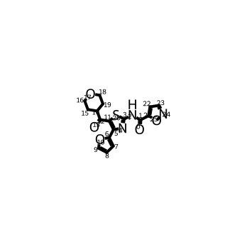 O=C(Nc1nc(-c2ccco2)c(C(=O)C2CCOCC2)s1)c1ccno1